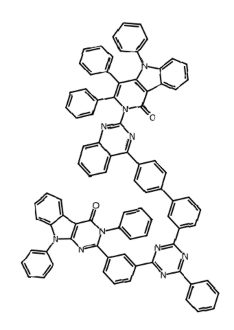 O=c1c2c3ccccc3n(-c3ccccc3)c2nc(-c2cccc(-c3nc(-c4ccccc4)nc(-c4cccc(-c5ccc(-c6nc(-n7c(-c8ccccc8)c(-c8ccccc8)c8c(c7=O)c7ccccc7n8-c7ccccc7)nc7ccccc67)cc5)c4)n3)c2)n1-c1ccccc1